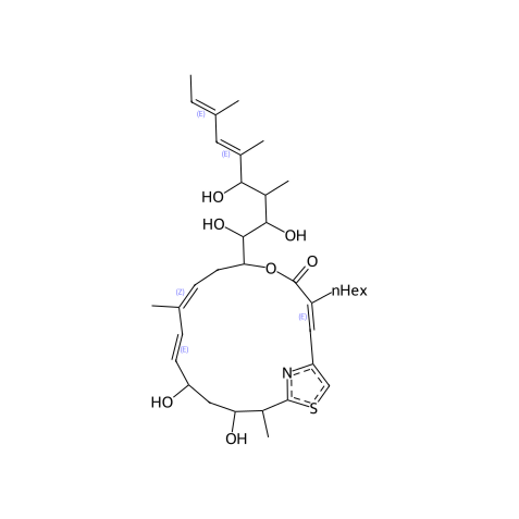 C/C=C(C)/C=C(\C)C(O)C(C)C(O)C(O)C1C/C=C(C)\C=C\C(O)CC(O)C(C)c2nc(cs2)/C=C(\CCCCCC)C(=O)O1